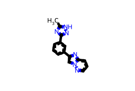 Cc1nc(-c2cccc(-c3cn4ncccc4n3)c2)n[nH]1